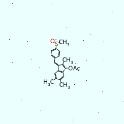 CC(=O)OC1=C(C)C(=Cc2ccc([S+](C)[O-])cc2)c2cc(C)c(C)cc21